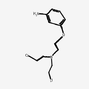 Nc1cccc(OCCN(CCCl)CCCl)c1